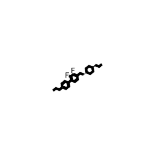 CCCc1ccc(-c2ccc(CC[C@H]3CC[C@H](CCC)CC3)c(F)c2F)cc1